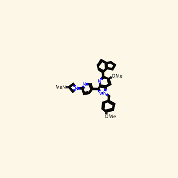 CNC1CN(c2ccc(-c3nn(Cc4ccc(OC)cc4)c4cc(OC)c(-c5cccc6c5CCC6)nc34)cn2)C1